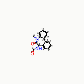 CN1C(=O)C(NC=O)c2ccccc2-c2ccccc21